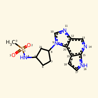 CS(=O)(=O)NC1CCC(n2cnc3cnc4[nH]ccc4c32)C1